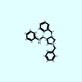 c1ccc(C[C@H]2CN(Cc3ccccc3)C[C@H]2CNc2ccccc2)cc1